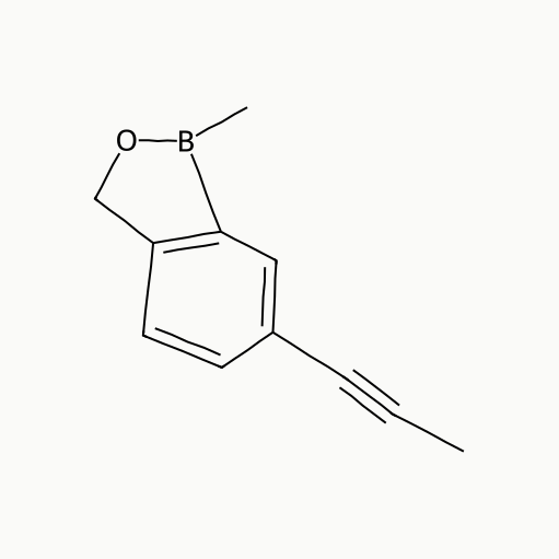 CC#Cc1ccc2c(c1)B(C)OC2